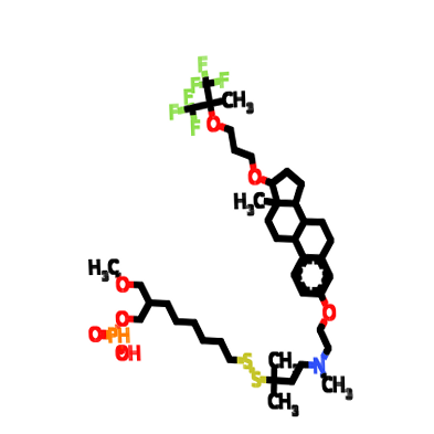 COCC(CCCCCCSSC(C)(C)CCN(C)CCOc1ccc2c(c1)CCC1C2CCC2(C)C(OCCCOC(C)(C(F)(F)F)C(F)(F)F)CCC12)CO[PH](=O)O